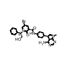 Cn1cc(-c2ccc(NC(=O)c3cc(Br)cn([C@@H](CO)c4ccccc4)c3=O)cc2)c2c(N)ncnc21